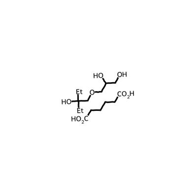 CCC(O)(CC)COCC(O)CO.O=C(O)CCCCC(=O)O